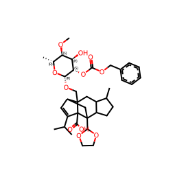 CO[C@H]1[C@@H](O)[C@H](OC(=O)OCc2ccccc2)[C@H](OCC23CC4C(C)CCC4C4(C5OCCO5)CC2C=C(C(C)C)C34C(=O)O)O[C@@H]1C